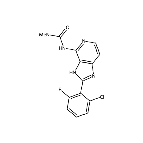 CNC(=O)Nc1nccc2nc(-c3c(F)cccc3Cl)[nH]c12